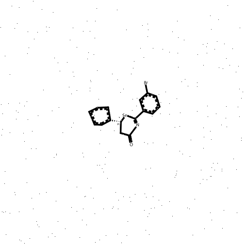 O=C1C[C@H](c2ccccc2)[Se]C(c2cccc(Br)c2)=N1